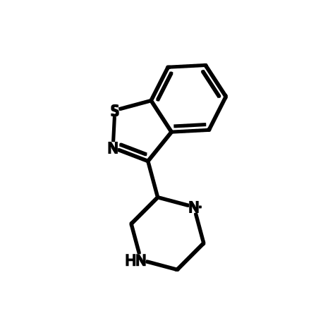 c1ccc2c(C3CNCC[N]3)nsc2c1